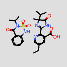 CC(C)N1C(=O)c2ccccc2NS1(=O)=O.CCc1cnc(C2=NC(C)(C(C)C)C(=O)N2)c(C(=O)O)c1